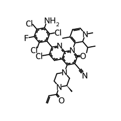 C=CC(=O)N1CCN(c2c(C#N)c(=O)n(C3=C(C)C=CN(C)C3C(C)C)c3nc(-c4c(Cl)c(N)c(Cl)c(F)c4Cl)c(Cl)cc23)C[C@H]1C